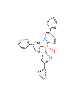 O=P(c1ccc(-c2ccccc2)cn1)(c1ccc(-c2ccccc2)cn1)c1ccc(-c2ccccc2)cn1